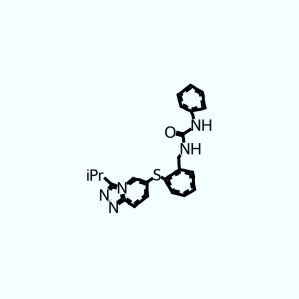 CC(C)c1nnc2ccc(Sc3ccccc3CNC(=O)Nc3ccccc3)cn12